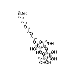 CCCCCCCCCCCCCCOCCOCCO[C@@H]1O[C@H](CO)[C@@H](O[C@@H]2O[C@H](CO)[C@H](O)[C@H](O)[C@H]2O)[C@H](O)[C@H]1O